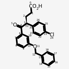 O=C(O)CC[C@H](C(=O)c1cccc(OCc2ccccc2)c1)c1ccc(Cl)cc1